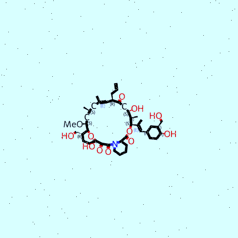 C=CC[C@@H]1/C=C(\C)C[C@H](C)C[C@H](OC)C2O[C@](O)(CC[C@@H]2CO)C(=O)C(=O)N2CCCCC2C(=O)O[C@H](/C(C)=C/[C@@H]2CC[C@@H](O)[C@H](CO)C2)[C@H](C)[C@@H](O)CC1=O